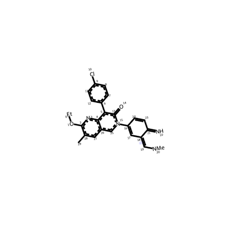 CCOc1nc2c(-c3ccc(Cl)cc3)c(=O)n(C3=C/C(=C/NC)C(=N)C=C3)cc2cc1C